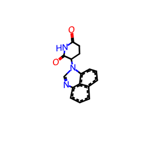 O=C1CCC(N2C=Nc3cccc4cccc2c34)C(=O)N1